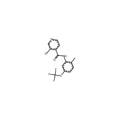 Cc1ccc(SC(F)(F)F)cc1NC(=O)c1ccncc1Cl